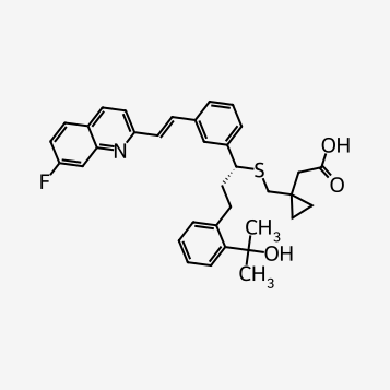 CC(C)(O)c1ccccc1CC[C@@H](SCC1(CC(=O)O)CC1)c1cccc(/C=C/c2ccc3ccc(F)cc3n2)c1